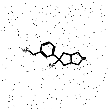 CCc1cccc(C2(C)CC3CNCC3C2)c1